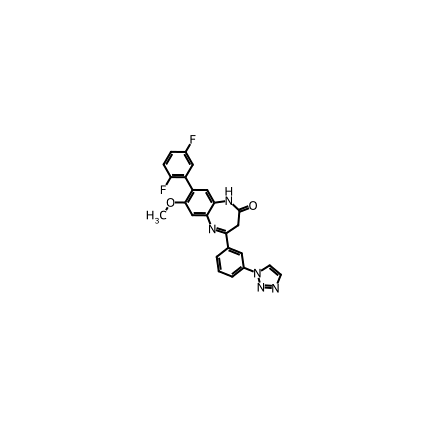 COc1cc2c(cc1-c1cc(F)ccc1F)NC(=O)CC(c1cccc(-n3ccnn3)c1)=N2